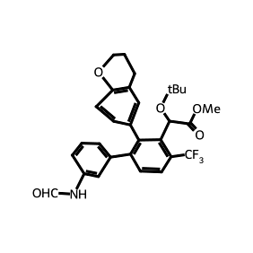 COC(=O)C(OC(C)(C)C)c1c(C(F)(F)F)ccc(-c2cccc(NC=O)c2)c1-c1ccc2c(c1)CCCO2